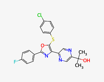 CC(C)(O)c1cnc(-c2nc(-c3ccc(F)cc3)oc2Sc2ccc(Cl)cc2)cn1